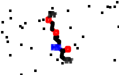 CC(C)CC(=O)NCCOCCOC(C)C